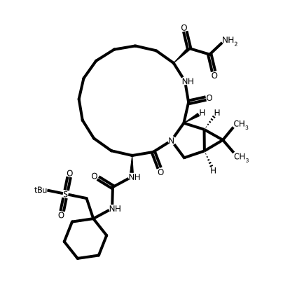 CC1(C)[C@@H]2[C@H]3C(=O)N[C@H](C(=O)C(N)=O)CCCCCCCCC[C@H](NC(=O)NC4(CS(=O)(=O)C(C)(C)C)CCCCC4)C(=O)N3C[C@@H]21